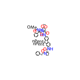 CCCCCC1(CCCCC)c2cc(NC(=O)[C@@H]3CCCN3C(=O)[CH]c3ccccc3)ccc2-c2ccc(NC(=O)[C@@H]3CC4(CN3C(=O)[C@H](NC(=O)OC)c3ccccc3)OCCO4)cc21